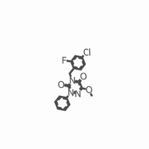 COc1nn(-c2ccccc2)c(=O)n(Cc2ccc(Cl)cc2F)c1=O